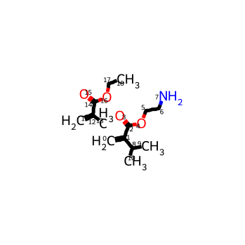 C=C(C(=O)OCCN)C(C)C.C=C(C)C(=O)OCC